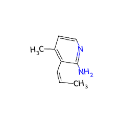 C/C=C\c1c(C)ccnc1N